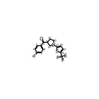 O=C(c1ccc(F)cc1)C1CCN(c2ccc(C(F)(F)F)s2)C1